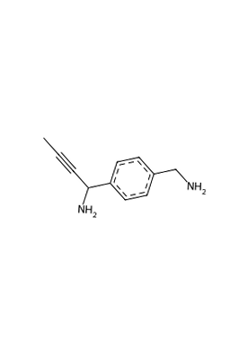 CC#CC(N)c1ccc(CN)cc1